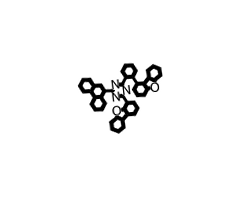 c1ccc(-c2cccc3oc4ccccc4c23)c(-c2nc(-c3cc4ccccc4c4ccccc34)nc(-c3cccc4c3oc3ccccc34)n2)c1